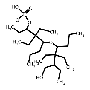 CCCC(OC(CCC)C(CC)(CC)C(CC)OP(=O)(O)O)C(CC)(CC)C(CC)CO